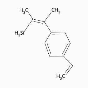 C=Cc1ccc(C(C)=C(C)[SiH3])cc1